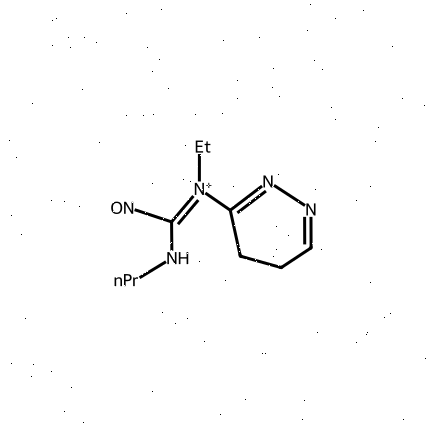 CCCNC(N=O)=[N+](CC)C1=NN=CCC1